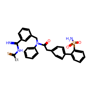 CCC(=S)NC(=N)c1cccc(CN(C(=O)Cc2ccc(-c3ccccc3S(N)(=O)=O)cc2)c2ccccc2)c1